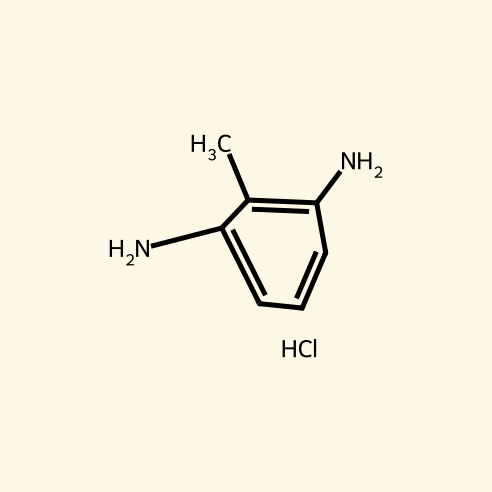 Cc1c(N)cccc1N.Cl